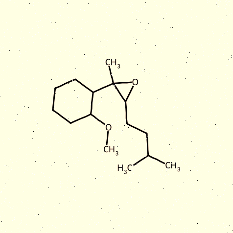 COC1CCCCC1C1(C)OC1CCC(C)C